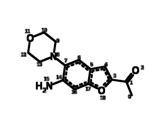 CC(=O)c1cc2cc(N3CCOCC3)c(N)cc2o1